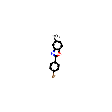 O=[N+]([O-])c1ccc2oc(-c3ccc(Br)cc3)nc2c1